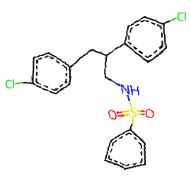 O=S(=O)(NCC(Cc1ccc(Cl)cc1)c1ccc(Cl)cc1)c1ccccc1